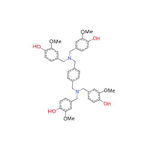 COc1cc(CN(Cc2ccc(CN(Cc3ccc(O)c(OC)c3)Cc3ccc(O)c(OC)c3)cc2)Cc2ccc(O)c(OC)c2)ccc1O